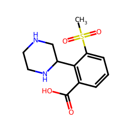 CS(=O)(=O)c1cccc(C(=O)O)c1C1CNCCN1